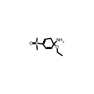 CCOC1(N)C=CC(P(C)(C)=O)=CC1